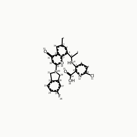 Cc1cc(C(C)Nc2ccc(Cl)nc2C(=O)O)c2oc(N3Cc4ccc(F)cc4C3)cc(=O)c2c1